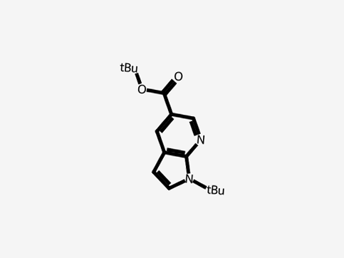 CC(C)(C)OC(=O)c1cnc2c(ccn2C(C)(C)C)c1